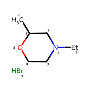 Br.CCN1CCOC(C)C1